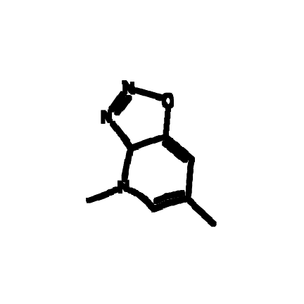 CC1=CN(C)C2N=NOC2=C1